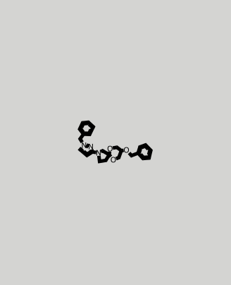 c1ccc(COC2COC3(CCN(c4ccn(Cc5ccccc5)n4)C3)OC2)cc1